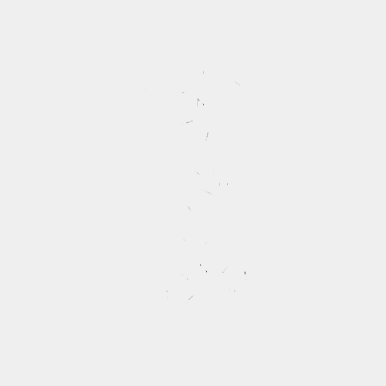 CC1=CCC(C)C(N(c2ccc3cc4c(cc3c2)oc2cc3cc(N(c5ccccc5)c5cc(C)ccc5C)ccc3cc24)C2C=CC=CC2)=C1